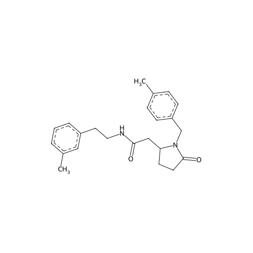 Cc1ccc(CN2C(=O)CCC2CC(=O)NCCc2cccc(C)c2)cc1